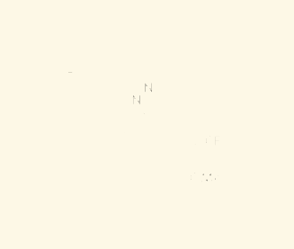 C=C=C1C(c2ccc(OC)c(C(F)(F)F)c2)=C2CCCCN2N1c1ccc(F)cc1